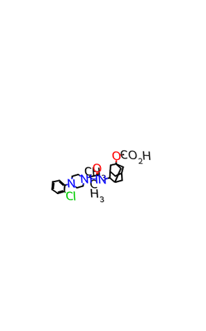 CC(C)(C(=O)NC1C2CC3CC1CC(OC(=O)O)(C3)C2)N1CCN(c2ccccc2Cl)CC1